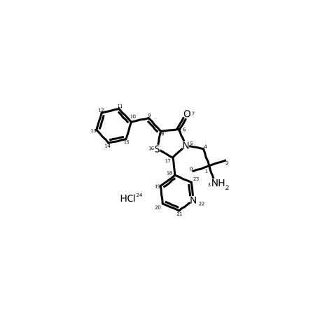 CC(C)(N)CN1C(=O)C(=Cc2ccccc2)SC1c1cccnc1.Cl